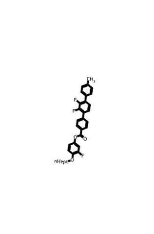 CCCCCCCOc1ccc(OC(=O)c2ccc(-c3ccc(-c4ccc(C)cc4)c(F)c3F)cc2)cc1F